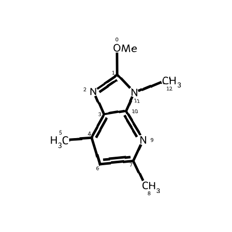 COc1nc2c(C)cc(C)nc2n1C